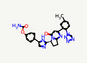 Cc1ccc(-n2cnnn2)c(-c2cc(=O)n3c(n2)CC[C@H]3c2ncc(-c3ccc(OC(N)=O)cc3)[nH]2)c1